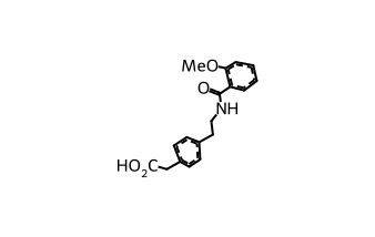 COc1ccccc1C(=O)NCCc1ccc(CC(=O)O)cc1